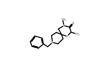 CC1OC2(CCN(Cc3ccccc3)CC2)CN(C)C1=O